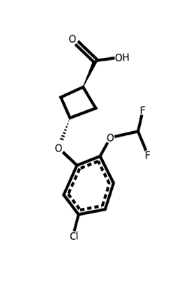 O=C(O)[C@H]1C[C@H](Oc2cc(Cl)ccc2OC(F)F)C1